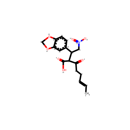 CC=CCCC(=O)C(C(=O)O)C(C[N+](=O)[O-])c1ccc2c(c1)OCO2